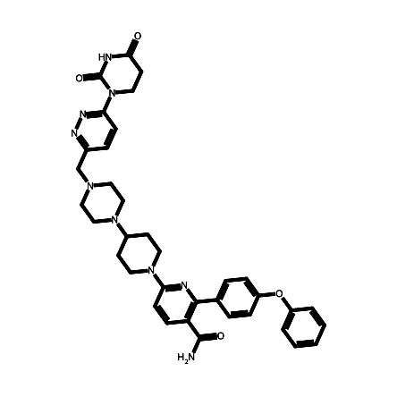 NC(=O)c1ccc(N2CCC(N3CCN(Cc4ccc(N5CCC(=O)NC5=O)nn4)CC3)CC2)nc1-c1ccc(Oc2ccccc2)cc1